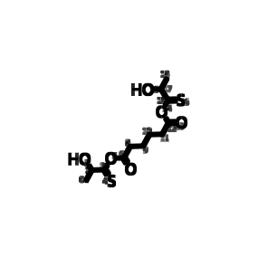 CC(O)C(=S)OC(=O)CCCCC(=O)OC(=S)C(C)O